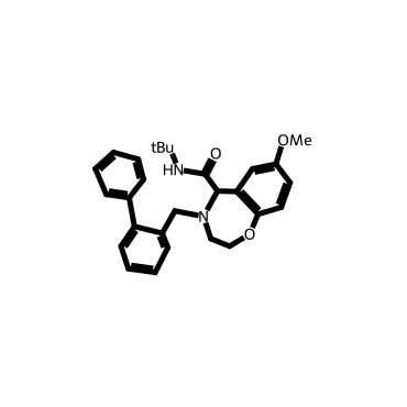 COc1ccc2c(c1)C(C(=O)NC(C)(C)C)N(Cc1ccccc1-c1ccccc1)CCO2